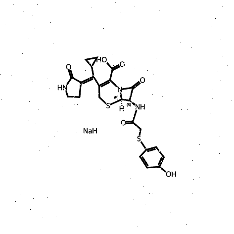 O=C(CSc1ccc(O)cc1)N[C@@H]1C(=O)N2C(C(=O)O)=C(C(=C3CCNC3=O)C3CC3)CS[C@H]12.[NaH]